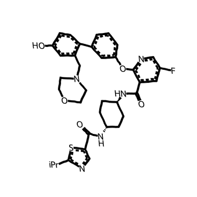 CC(C)c1ncc(C(=O)N[C@H]2CC[C@H](NC(=O)c3cc(F)cnc3Oc3cccc(-c4ccc(O)cc4CN4CCOCC4)c3)CC2)s1